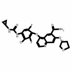 NC(=O)c1cc2c(Oc3c(F)cc(NC(=O)NC4CC4)c(Cl)c3F)ccnc2cc1O[C@@H]1CCOC1